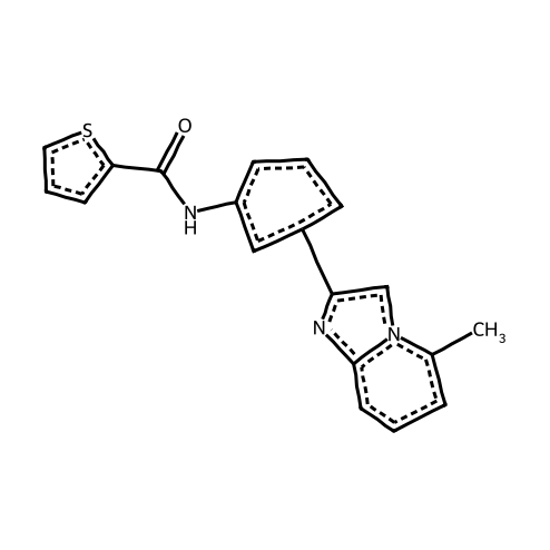 Cc1cccc2nc(-c3cccc(NC(=O)c4cccs4)c3)cn12